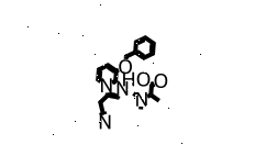 CC(C(=O)O)N(C)C.N#CCc1cnc2c(OCc3ccccc3)cccn12